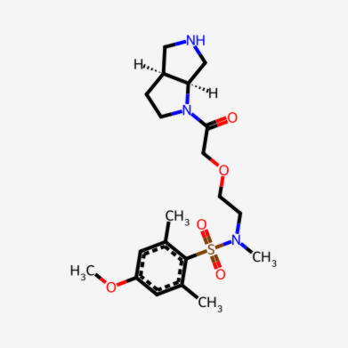 COc1cc(C)c(S(=O)(=O)N(C)CCOCC(=O)N2CC[C@H]3CNC[C@H]32)c(C)c1